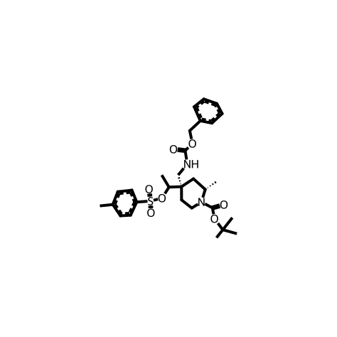 Cc1ccc(S(=O)(=O)OC(C)[C@]2(CNC(=O)OCc3ccccc3)CCN(C(=O)OC(C)(C)C)[C@@H](C)C2)cc1